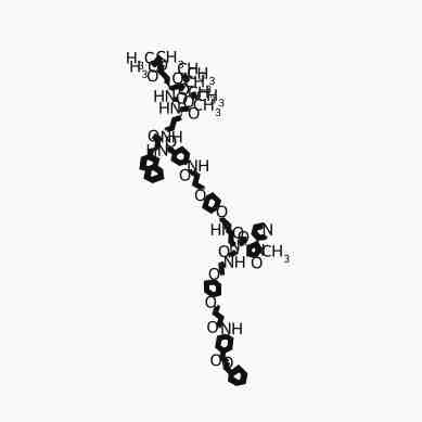 CN1C(=O)C[C@H](C(=O)N(CC(=O)NCCOC2CCC(OCCCC(=O)NC3CCC(C(=O)N[C@@H](Cc4ccc5ccccc5c4)C(=O)NCCCC[C@H](NC(=O)N[C@@H](CCC(=O)OC(C)(C)C)C(=O)OC(C)(C)C)C(=O)OC(C)(C)C)CC3)CC2)CC(=O)NCCOC2CCC(OCCCC(=O)NC3CCC(C(=O)OCc4ccccc4)CC3)CC2)[C@H]1c1cccnc1